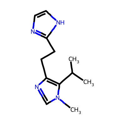 CC(C)c1c(CCc2ncc[nH]2)ncn1C